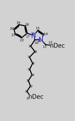 CCCCCCCCCCCCCCCCCCCC1N(CCCCCCCCCCC)C=CN1c1ccccc1